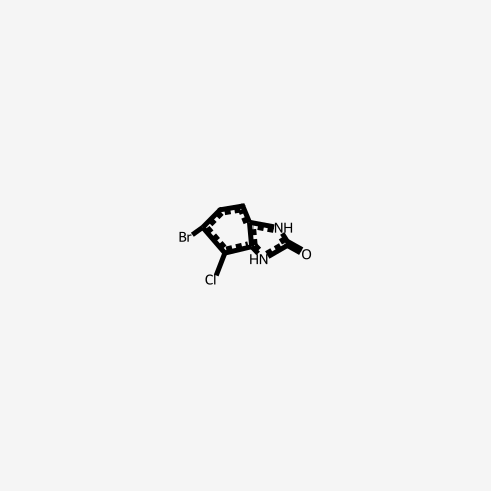 O=c1[nH]c2ccc(Br)c(Cl)c2[nH]1